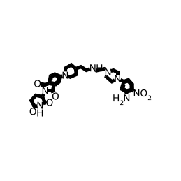 Nc1cc(N2CCN(CCNCCC3CCN(c4ccc5c(c4)C(=O)N(C4CCC(=O)NC4=O)C5=O)CC3)CC2)ccc1[N+](=O)[O-]